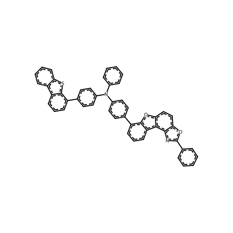 c1ccc(-c2nc3c(ccc4oc5c(-c6ccc(N(c7ccccc7)c7ccc(-c8cccc9c8sc8ccccc89)cc7)cc6)cccc5c43)o2)cc1